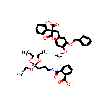 CCO[Si](CCCNC(=O)c1ccccc1C(=O)O)(OCC)OCC.COc1ccc(CC(C(=O)O)(C(=O)O)c2ccccc2)cc1OCc1ccccc1